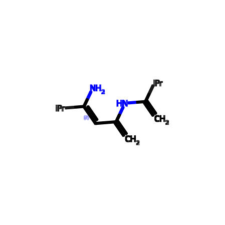 C=C(/C=C(\N)C(C)C)NC(=C)C(C)C